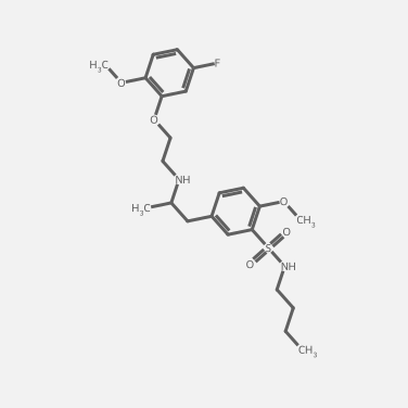 CCCCNS(=O)(=O)c1cc(CC(C)NCCOc2cc(F)ccc2OC)ccc1OC